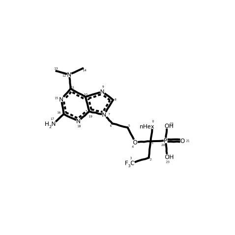 CCCCCCC(CC(F)(F)F)(OCCn1cnc2c(N(C)C)nc(N)nc21)P(=O)(O)O